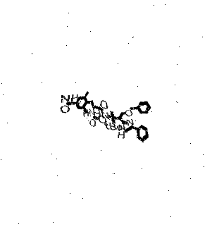 Cc1cc(C(N)=O)cc(C)c1CC(NC(=O)OC(C)(C)C)C(=O)NC(C)(C)C(COCc1ccccc1)c1nc(-c2ccccc2)c[nH]1